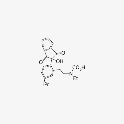 CCN(CCc1cc(C(C)C)ccc1C1(O)C(=O)c2ccccc2C1=O)C(=O)O